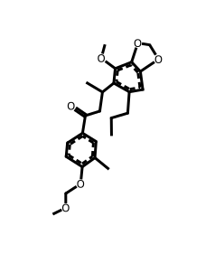 CCCc1cc2c(c(OC)c1C(C)CC(=O)c1ccc(OCOC)c(C)c1)OCO2